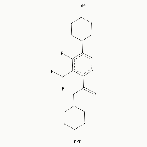 CCCC1CCC(CC(=O)c2ccc(C3CCC(CCC)CC3)c(F)c2C(F)F)CC1